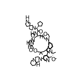 CCn1c(-c2cc(N3CCN4CCCC[C@@H]4C3)cnc2[C@H](C)OC)c2c3cc(ccc31)N1CCO[C@@H](C[C@H](NC(=O)[C@H](C3CCCC3)N3CC[C@]4(CCNC4)C3)C(=O)N3CCC[C@H](N3)C(=O)OCC(C)(C)C2)C1